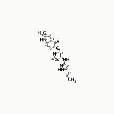 C/C=C/c1cc(Nc2cc(Oc3ccc4[nH]c(C)cc4c3F)ncn2)n[nH]1